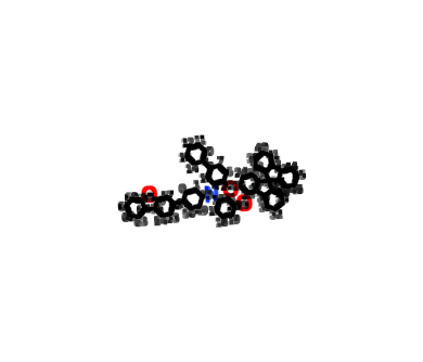 C1=CC(N(c2cccc(-c3ccccc3)c2)c2cccc3c2Oc2ccc4c(c2O3)-c2ccccc2C42c3ccccc3-c3ccccc32)CC=C1c1ccc2c(c1)oc1ccccc12